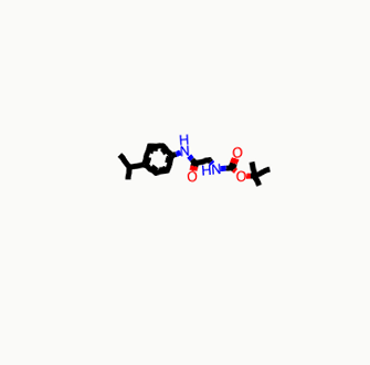 CC(C)c1ccc(NC(=O)CNC(=O)OC(C)(C)C)cc1